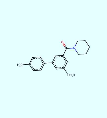 Cc1ccc(-c2cc(C(=O)O)cc(C(=O)N3CCCCC3)c2)cc1